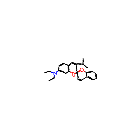 CCN(CC)c1ccc2c(c1)OC1(C=Cc3ccccc3O1)C(C(C)C)=C2